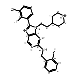 Fc1c(Cl)cccc1-c1nc2cnc(NCc3ccccc3Cl)nc2n1CCC1CCNCC1